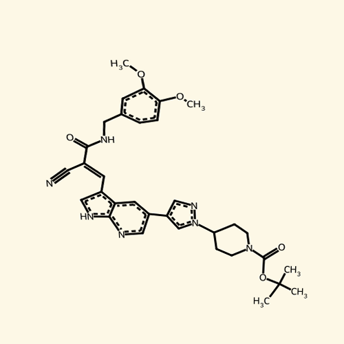 COc1ccc(CNC(=O)/C(C#N)=C/c2c[nH]c3ncc(-c4cnn(C5CCN(C(=O)OC(C)(C)C)CC5)c4)cc23)cc1OC